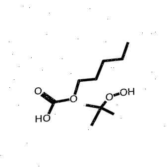 CC(C)(C)OO.CCCCCOC(=O)O